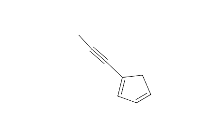 CC#CC1=CC=CC1